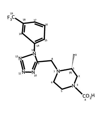 C[C@@H]1CN(C(=O)O)CCN1Cc1nnnn1-c1cccc(C(F)(F)F)c1